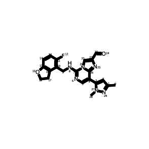 Cc1cc(-c2cnc(NCc3c(F)ccc4c3CCO4)n3cc(C=O)nc23)n(C)n1